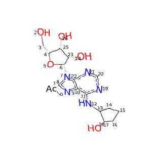 CC(C)=O.OC[C@H]1O[C@@H](n2cnc3c(NC4CCCC4O)ncnc32)[C@@H](O)[C@H]1O